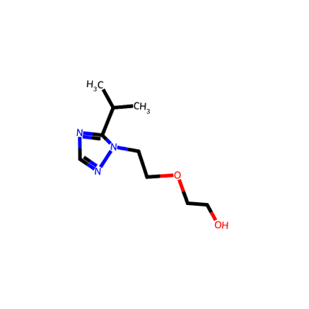 CC(C)c1ncnn1CCOCCO